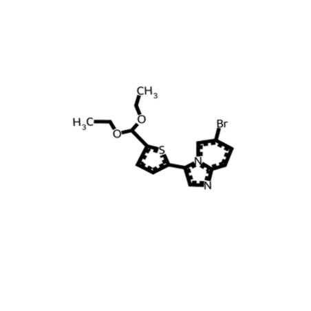 CCOC(OCC)c1ccc(-c2cnc3ccc(Br)cn23)s1